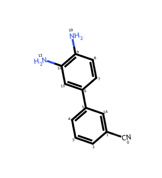 N#Cc1cccc(-c2ccc(N)c(N)c2)c1